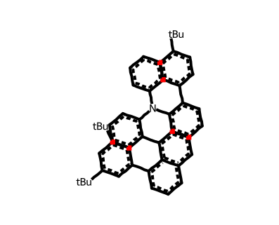 CC(C)(C)c1ccc(-c2ccccc2N(c2ccccc2)c2ccccc2-c2cccc3cccc(-c4cc(C(C)(C)C)cc(C(C)(C)C)c4)c23)cc1